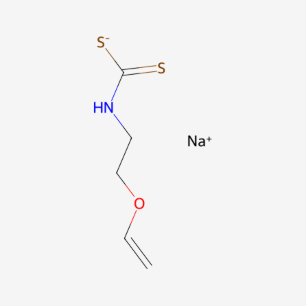 C=COCCNC(=S)[S-].[Na+]